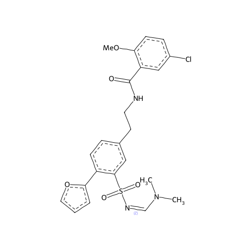 COc1ccc(Cl)cc1C(=O)NCCc1ccc(-c2ccco2)c(S(=O)(=O)/N=C\N(C)C)c1